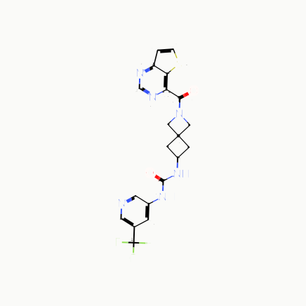 O=C(Nc1cncc(C(F)(F)F)c1)NC1CC2(C1)CN(C(=O)c1ncnc3ccsc13)C2